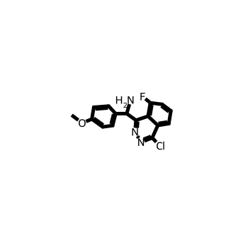 COc1ccc(C(N)c2nnc(Cl)c3cccc(F)c23)cc1